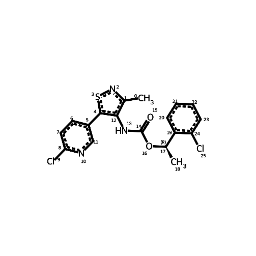 Cc1nsc(-c2ccc(Cl)nc2)c1NC(=O)O[C@H](C)c1ccccc1Cl